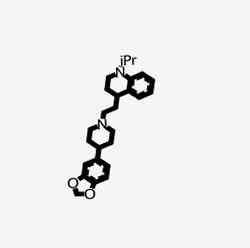 CC(C)N1CCC(CCN2CCC(c3ccc4c(c3)OCO4)CC2)c2ccccc21